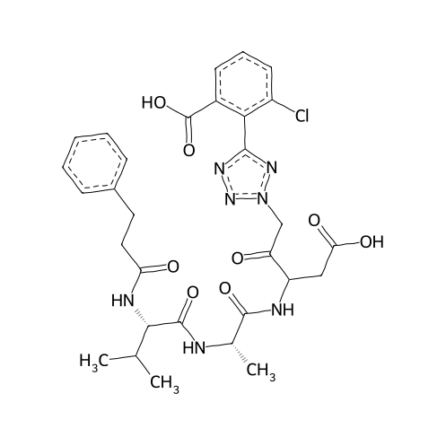 CC(C)[C@H](NC(=O)CCc1ccccc1)C(=O)N[C@@H](C)C(=O)NC(CC(=O)O)C(=O)Cn1nnc(-c2c(Cl)cccc2C(=O)O)n1